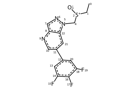 CC[S+]([O-])Cn1ncc2ncc(-c3cc(F)c(F)c(F)c3)cc21